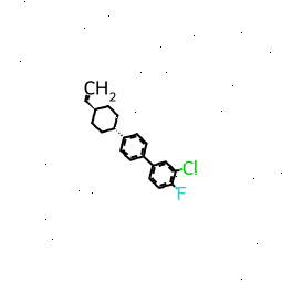 C=C[C@H]1CC[C@H](c2ccc(-c3ccc(F)c(Cl)c3)cc2)CC1